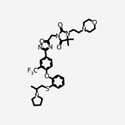 CC(CSc1ccccc1Oc1ccc(-c2noc(CN3C(=O)N(CCN4CCOCC4)C(C)(C)C3=O)n2)cc1C(F)(F)F)N1CCCC1